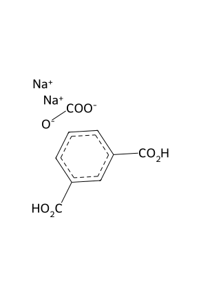 O=C(O)c1cccc(C(=O)O)c1.O=C([O-])[O-].[Na+].[Na+]